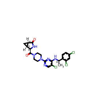 C[C@@H](Nc1nc(N2CCN(C(=O)[C@@H]3NC(=O)[C@@H]4C[C@@H]43)CC2)ncc1Cl)c1ccc(Cl)cc1Cl